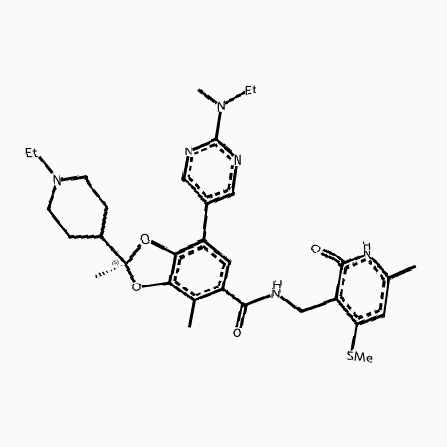 CCN1CCC([C@@]2(C)Oc3c(-c4cnc(N(C)CC)nc4)cc(C(=O)NCc4c(SC)cc(C)[nH]c4=O)c(C)c3O2)CC1